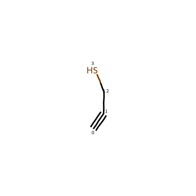 C#C[CH]S